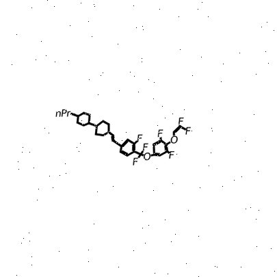 CCCC1CCC(C2CCC(/C=C/c3ccc(C(F)(F)Oc4cc(F)c(OC=C(F)F)c(F)c4)c(F)c3)CC2)CC1